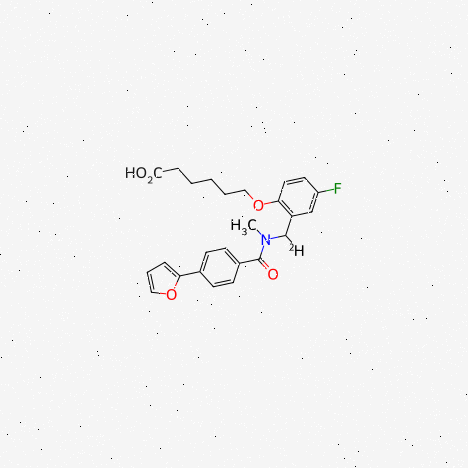 [2H]C(c1cc(F)ccc1OCCCCCC(=O)O)N(C)C(=O)c1ccc(-c2ccco2)cc1